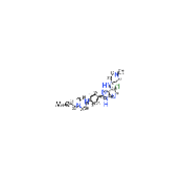 CCN1CCC(Nc2c(Cl)cnc3[nH]c(-c4ccc(N5CCN(CCOC)CC5)cc4)nc23)CC1